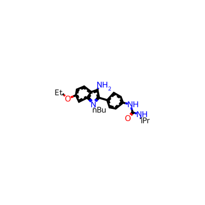 CCCCn1c(-c2ccc(NC(=O)NC(C)C)cc2)c(N)c2ccc(OCC)cc21